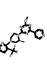 COc1nc(-c2ccncc2)nc(N2CCN(c3ncccc3C(F)(F)F)C[C@@H]2C)n1